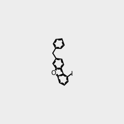 Ic1cccc2oc3cc(Cc4ccccc4)ccc3c12